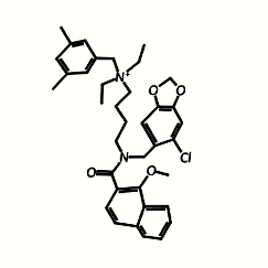 CC[N+](CC)(CCCCN(Cc1cc2c(cc1Cl)OCO2)C(=O)c1ccc2ccccc2c1OC)Cc1cc(C)cc(C)c1